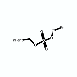 CCCCCCOS(=O)(=O)OOCC